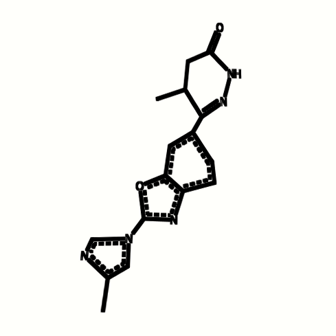 Cc1cn(-c2nc3ccc(C4=NNC(=O)CC4C)cc3o2)cn1